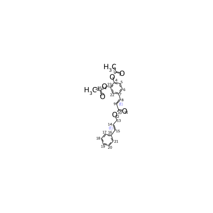 CC(=O)Oc1ccc(/C=C/C(=O)OC/C=C/c2ccccc2)cc1OC(C)=O